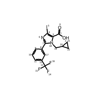 O=C(O)c1c(I)nc(-c2cccc(C(F)(F)F)c2)n1CC1CC1